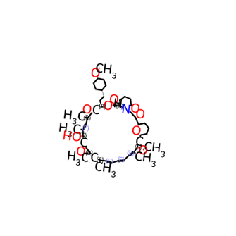 CO[C@H]1CC2CCCC(O2)C(=O)C(=O)N2CCCC[C@H]2C(=O)O[C@H](CC[C@H]2CC[C@H](OC)CC2)CC(=O)[C@H](C)/C=C(\C)[C@@H](O)CC(=O)[C@H](C)C[C@H](C)/C=C/C=C/C=C/1C